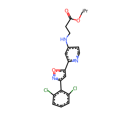 CC(C)OC(=O)CCNc1ccnc(-c2cc(-c3c(Cl)cccc3Cl)no2)c1